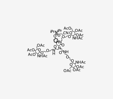 CC(=O)NC1C(OCCOCCNC(=O)CN(CC(=O)NCCOCCOC2OC(COC(C)=O)C(OC(C)=O)C(OC(C)=O)C2NC(C)=O)C(Cc2ccc(OP(OCCC#N)N(C(C)C)C(C)C)cc2)C(=O)NCCOCCOC2OC(COC(C)=O)C(OC(C)=O)C(OC(C)=O)C2NC(C)=O)OC(COC(C)=O)C(OC(C)=O)C1OC(C)=O